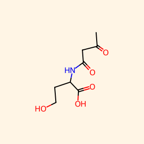 CC(=O)CC(=O)NC(CCO)C(=O)O